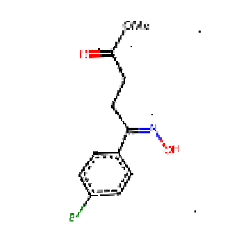 COC(=O)CC/C(=N/O)c1ccc(Br)cc1